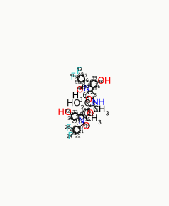 Cc1c(CC(=O)NC(C)C(C(=O)O)C(=O)Cc2c(C)n(C(=O)c3ccc(F)c(F)c3)c3ccc(O)cc23)c2cc(O)ccc2n1C(=O)c1ccc(F)c(F)c1